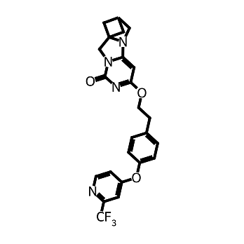 O=c1nc(OCCc2ccc(Oc3ccnc(C(F)(F)F)c3)cc2)cc2n1CC13CC(CN21)C3